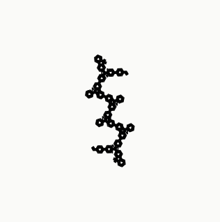 C=Cc1ccc(-c2ccc(N(c3ccc(-c4ccc5c(c4)c4cc(-c6ccc7c(c6)c6cc(-c8ccc9c(c8)c8cc(-c%10ccc%11c(c%10)c%10cc(-c%12ccc(N(c%13ccc(-c%14ccc(C=C)cc%14)cc%13)c%13ccc%14c(c%13)C(C)(C)c%13ccccc%13-%14)cc%12)ccc%10n%11-c%10ccccc%10)ccc8n9-c8ccccc8)ccc6n7-c6ccccc6)ccc4n5-c4ccccc4)cc3)c3ccc4c(c3)C(C)(C)c3ccccc3-4)cc2)cc1